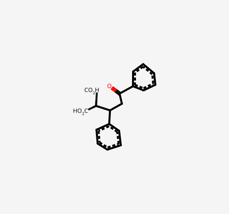 O=C(CC(c1ccccc1)C(C(=O)O)C(=O)O)c1ccccc1